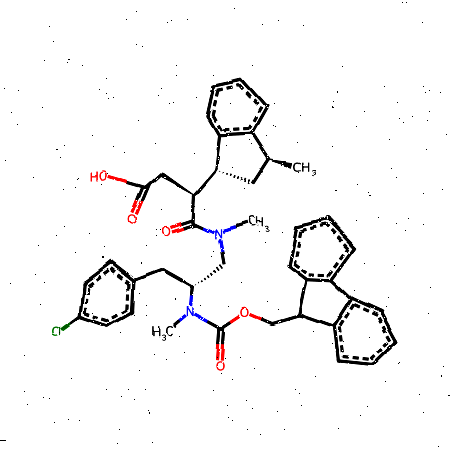 C[C@H]1C[C@H]([C@H](CC(=O)O)C(=O)N(C)C[C@@H](Cc2ccc(Cl)cc2)N(C)C(=O)OCC2c3ccccc3-c3ccccc32)c2ccccc21